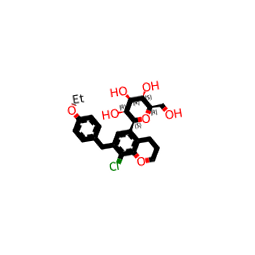 CCOc1ccc(Cc2cc([C@@H]3O[C@H](CO)[C@@H](O)[C@H](O)[C@H]3O)c3c(c2Cl)OCCC3)cc1